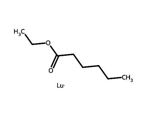 CCCCCC(=O)OCC.[Lu]